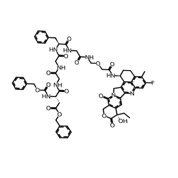 CC[C@@]1(O)C(=O)OCc2c1cc1n(c2=O)Cc2c-1nc1cc(F)c(C)c3c1c2[C@@H](NC(=O)COCNC(=O)CNC(=O)[C@H](Cc1ccccc1)NC(=O)CNC(=O)CNC(=O)[C@H](CC(=O)OCc1ccccc1)NC(=O)OCc1ccccc1)CC3